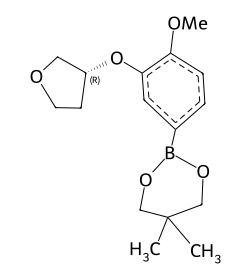 COc1ccc(B2OCC(C)(C)CO2)cc1O[C@@H]1CCOC1